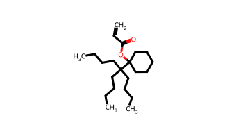 C=CC(=O)OC1(C(CCCC)(CCCC)CCCC)CCCCC1